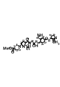 CCOc1nc(N2CCN(C(=O)OC)CC2)ccc1C(=O)NC[C@@H](O)CCc1ccc(OCc2ccnn2C)cc1CN